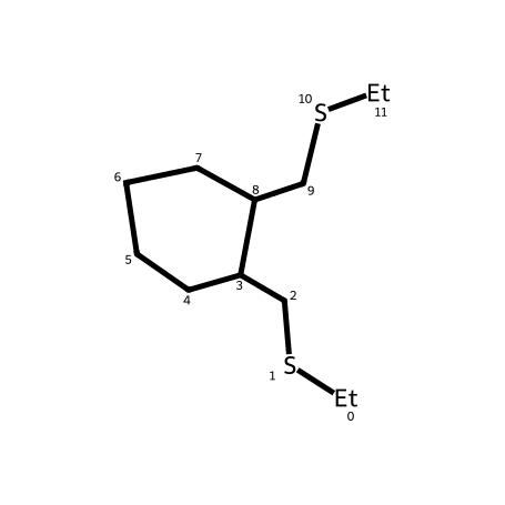 CCSCC1CCCCC1CSCC